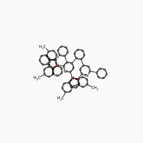 Cc1ccc2c(c1)c1cc(C)ccc1n2-c1cc(-c2ccccc2-c2cc(-c3ccccc3)nc(-c3ccccc3)c2)c(-c2ccccc2-n2c3ccccc3c3ccccc32)c(-n2c3ccc(C)cc3c3cc(C)ccc32)n1